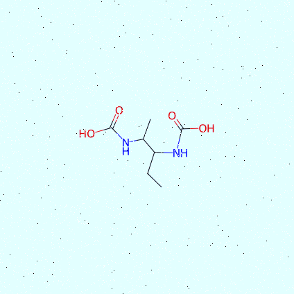 CCC(NC(=O)O)C(C)NC(=O)O